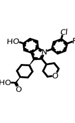 O=C(O)[C@H]1CC[C@@H](c2c(C3CCOCC3)n(-c3ccc(F)c(Cl)c3)c3ccc(O)cc32)CC1